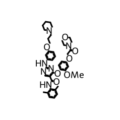 COc1cc(OCC(=O)N2CCOCC2)ccc1Oc1nc(Nc2cccc(OCCCN3CCCCC3)c2)ncc1C(=O)Nc1c(C)cccc1C